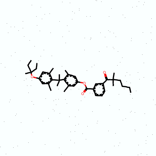 CCCCC(C)(C)C(=O)c1cccc(C(=O)Oc2cc(C)c(C(C)(C)c3c(C)cc(OC(C)(CC)CC)cc3C)c(C)c2)c1